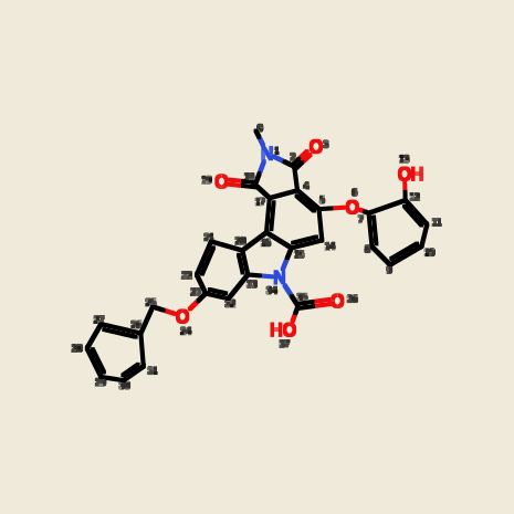 CN1C(=O)c2c(Oc3ccccc3O)cc3c(c2C1=O)c1ccc(OCc2ccccc2)cc1n3C(=O)O